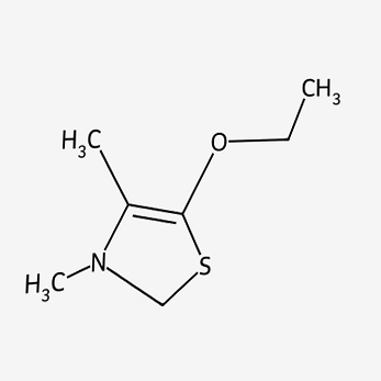 CCOC1=C(C)N(C)CS1